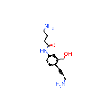 NCC#Cc1ccc(NC(=O)CCCN)cc1CO